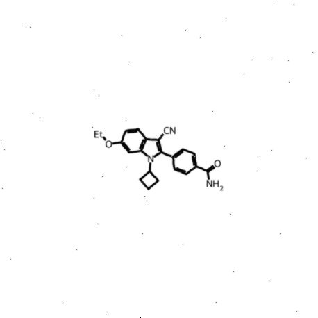 CCOc1ccc2c(C#N)c(-c3ccc(C(N)=O)cc3)n(C3CCC3)c2c1